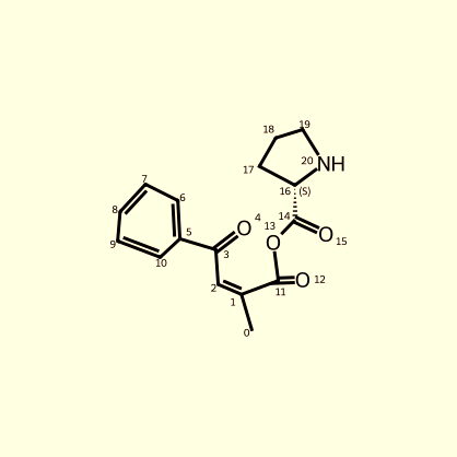 CC(=CC(=O)c1ccccc1)C(=O)OC(=O)[C@@H]1CCCN1